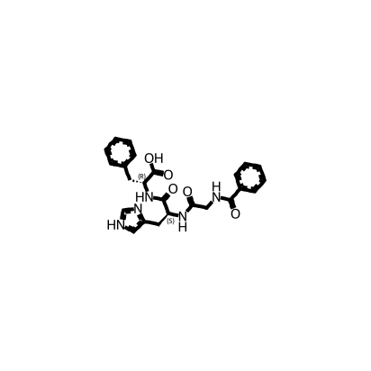 O=C(CNC(=O)c1ccccc1)N[C@@H](Cc1c[nH]cn1)C(=O)N[C@H](Cc1ccccc1)C(=O)O